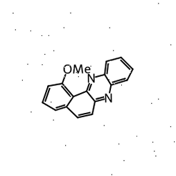 COc1cccc2ccc3nc4ccccc4nc3c12